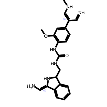 CN/C=C(\C=N)c1ccc(NC(=O)NCC2N/C(=C\N)c3ccccc32)c(OC)c1